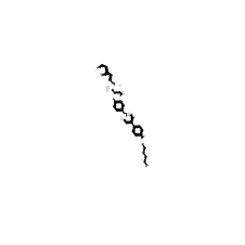 CCCCCCCOc1ccc(-c2cnc(-c3ccc(C[C@H](NC(=O)c4cc5cccnc5s4)C(=O)O)cc3)nc2)cc1